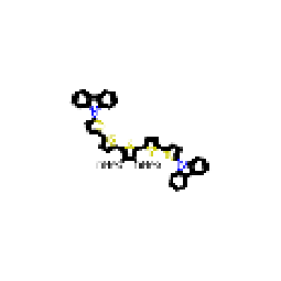 CCCCCCc1c(-c2ccc(-c3ccc(-n4c5ccccc5c5ccccc54)s3)s2)sc(-c2ccc(-c3ccc(-n4c5ccccc5c5ccccc54)s3)s2)c1CCCCCC